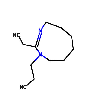 N#CCCN1CCCCCCN=C1CC#N